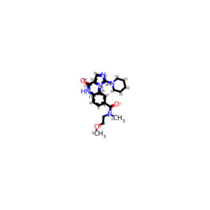 COCCN(C)C(=O)c1ccc2[nH]c(=O)c3cnc(N4CCCCC4)n3c2c1